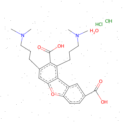 CN(C)CCCc1cc2oc3ccc(C(=O)O)cc3c2c(CCCN(C)C)c1C(=O)O.Cl.Cl.O